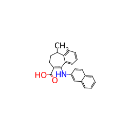 CC1CCC(C(=O)O)=C(Nc2ccc3ccccc3c2)c2ccccc21